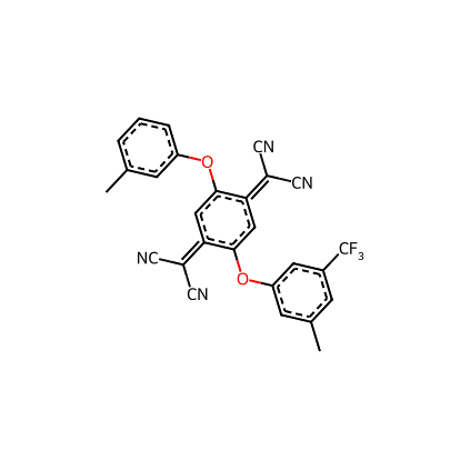 Cc1cccc(Oc2cc(=C(C#N)C#N)c(Oc3cc(C)cc(C(F)(F)F)c3)cc2=C(C#N)C#N)c1